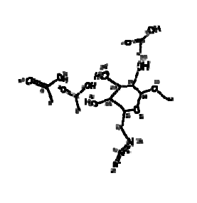 CC(=O)O.CC(=O)O.CC(=O)O.COC1OC(CN=[N+]=[N-])C(O)C(O)C1O